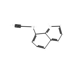 N#CNc1cccc2cccnc12